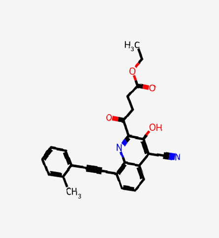 CCOC(=O)CCC(=O)c1nc2c(C#Cc3ccccc3C)cccc2c(C#N)c1O